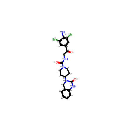 Nc1c(Br)cc(C(=O)CNC(=O)N2CCC(N3Cc4ccccc4NC3=O)CC2)cc1Br